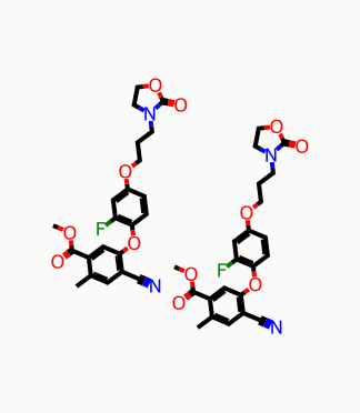 COC(=O)c1cc(Oc2ccc(OCCCN3CCOC3=O)cc2F)c(C#N)cc1C.COC(=O)c1cc(Oc2ccc(OCCCN3CCOC3=O)cc2F)c(C#N)cc1C